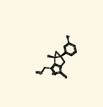 O=C(O)Cc1[nH]c(=S)n2c1[C@@H]1C[C@]1(c1cccc(Br)c1)C2